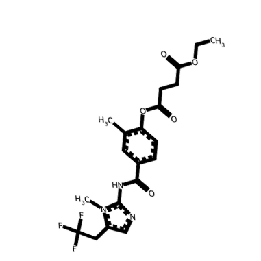 CCOC(=O)CCC(=O)Oc1ccc(C(=O)Nc2ncc(CC(F)(F)F)n2C)cc1C